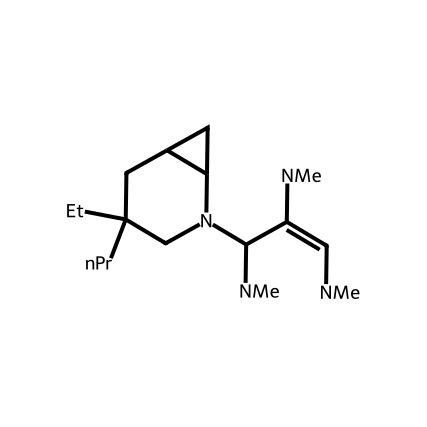 CCCC1(CC)CC2CC2N(C(NC)/C(=C\NC)NC)C1